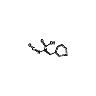 O=C=NC(=Cc1ccccc1)[PH](=O)O